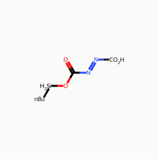 CCCC[SiH2]OC(=O)N=NC(=O)O